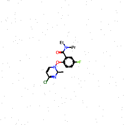 CCN(C(=O)c1cc(F)ccc1ON1C=CC(Cl)=NC1C)C(C)C